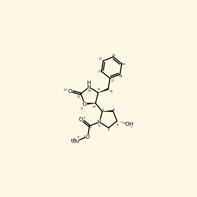 CC(C)(C)OC(=O)N1C[C@@H](O)C[C@@H]1[C@H]1OC(=O)N[C@H]1Cc1ccccc1